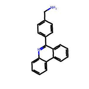 NCc1ccc(-c2nc3ccccc3c3ccccc23)cc1